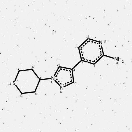 Nc1cc(-c2cnn(C3CCSCC3)c2)ccn1